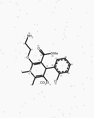 CCOC(=O)C1=C(C)N(C)C(OCCN)=C(C(=O)OC)C1c1ccccc1Cl